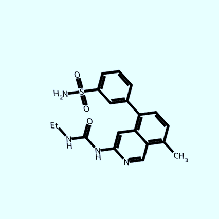 CCNC(=O)Nc1cc2c(-c3cccc(S(N)(=O)=O)c3)ccc(C)c2cn1